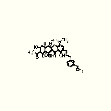 CCc1cccc(CCCc2cc(N(C)C)c3c(c2O)C(=O)C2=C(O)[C@]4(O)C(=O)C(C(C)=O)=C(O)C[C@@H]4C[C@@H]2C3)c1